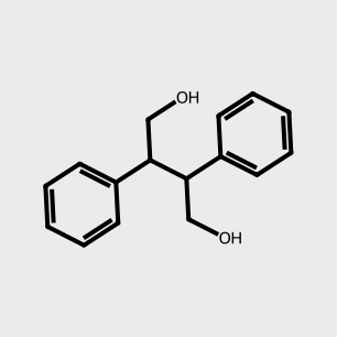 OCC(c1ccccc1)C(CO)c1ccccc1